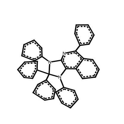 c1ccc(-c2nc3c(c4ccccc24)N(c2ccccc2)C(c2ccccc2)(c2ccccc2)N3c2ccccc2)cc1